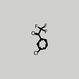 O=C(c1cccc(Cl)c1)C(F)(F)F